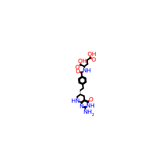 Nc1nc2c(c(=O)[nH]1)C[C@@H](CCc1ccc(C(=O)NC(CCC(=O)O)C(=O)O)cc1)CN2